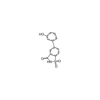 O=C1NS(=O)(=O)c2ccc(-c3cccc(O)c3)cc21